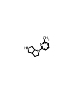 Cc1cccc(N2CCC3CNCC32)n1